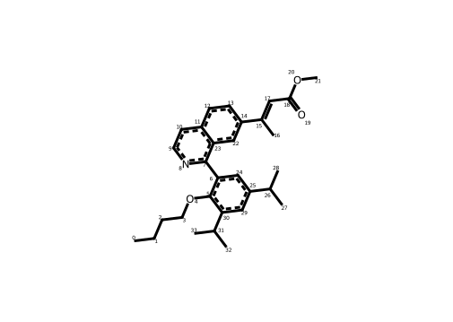 CCCCOc1c(-c2nccc3ccc(/C(C)=C/C(=O)OC)cc23)cc(C(C)C)cc1C(C)C